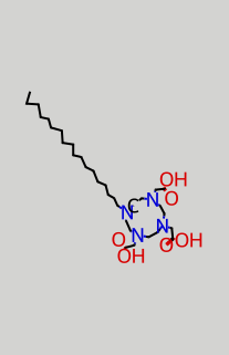 CCCCCCCCCCCCCCCCCCN1CCN(CC(=O)O)CCN(CC(=O)O)CCN(CC(=O)O)CC1